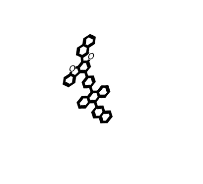 c1ccc2cc(-c3c4ccccc4c(-c4ccc(-c5cc6oc7c8ccccc8ccc7c6c6oc7ccccc7c56)cc4)c4ccccc34)ccc2c1